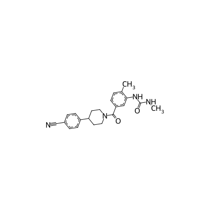 CNC(=O)Nc1cc(C(=O)N2CCC(c3ccc(C#N)cc3)CC2)ccc1C